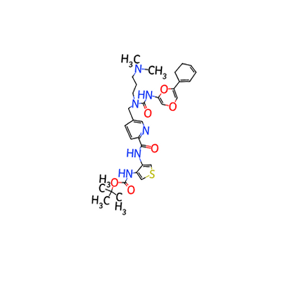 CN(C)CCCN(Cc1ccc(C(=O)Nc2cscc2NC(=O)OC(C)(C)C)nc1)C(=O)NC1=COC=C(C2=CC=CCC2)O1